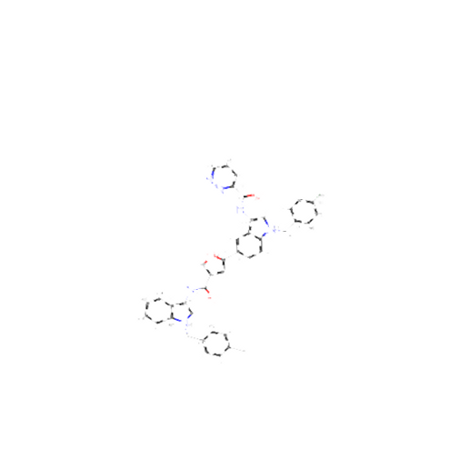 Cc1ccc(Cn2cc(NC(=O)c3coc(-c4ccc5c(c4)c(NC(=O)c4cccnn4)cn5Cc4ccc(F)cc4)c3)c3ccccc32)cc1